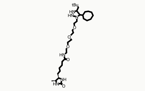 C[C@@H]1NC(=O)N[C@@H]1CCCCCC(=O)NCCOCCOCCOCCN1NNC(CC(C)(C)C)C1C1CCCCCCC1